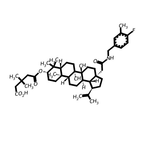 C=C(C)[C@@H]1CC[C@]2(CC(=O)NCc3ccc(F)c(C)c3)CC[C@]3(C)[C@H](CC[C@@H]4[C@@]5(C)CC[C@H](OC(=O)CC(C)(C)CC(=O)O)C(C)(C)[C@@H]5CC[C@]43C)[C@@H]12